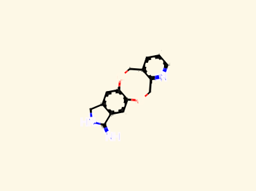 N=C1NCc2cc3c(cc21)OCc1ncccc1CO3